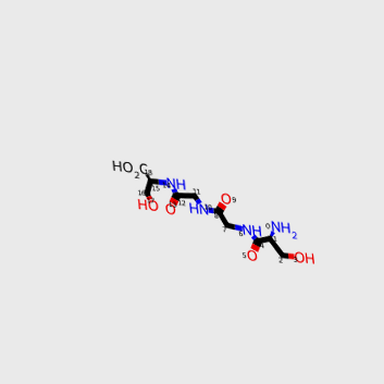 N[C@@H](CO)C(=O)NCC(=O)NCC(=O)N[C@@H](CO)C(=O)O